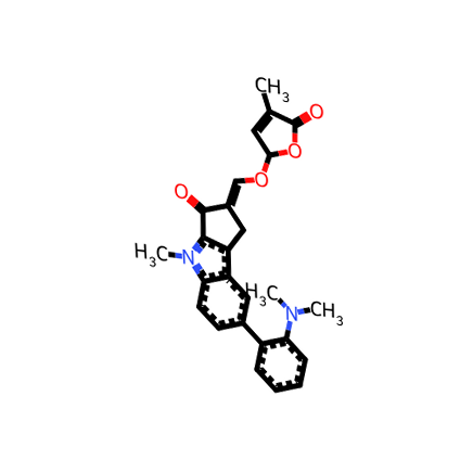 CC1=CC(O/C=C2\Cc3c(n(C)c4ccc(-c5ccccc5N(C)C)cc34)C2=O)OC1=O